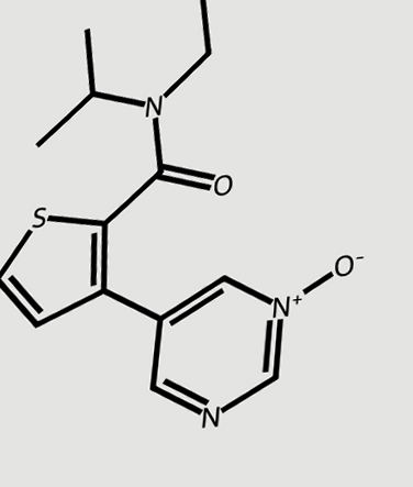 CCN(C(=O)c1sccc1-c1cnc[n+]([O-])c1)C(C)C